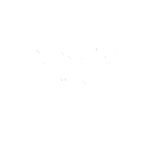 C[Si](C)(C)CCOCn1nc(-c2cnc3ccc(F)cn23)c(C=N)c1/C=C/C(=O)N1CCCCCC1